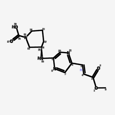 COC(=O)/C=C/c1cnc(N[C@@H]2CCCN(C(=O)O)C2)cn1